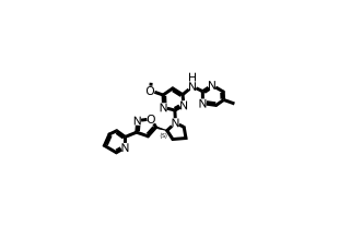 COc1cc(Nc2ncc(C)cn2)nc(N2CCC[C@H]2c2cc(-c3ccccn3)no2)n1